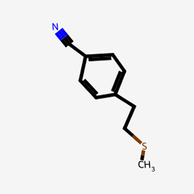 CSCCc1ccc(C#N)cc1